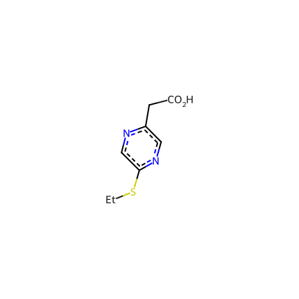 CCSc1cnc(CC(=O)O)cn1